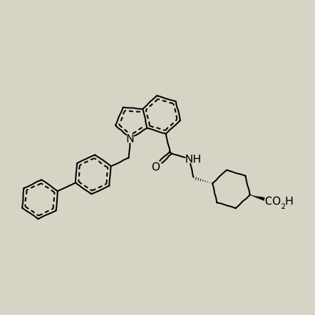 O=C(NC[C@H]1CC[C@H](C(=O)O)CC1)c1cccc2ccn(Cc3ccc(-c4ccccc4)cc3)c12